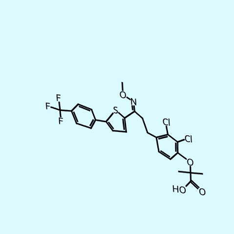 CO/N=C(/CCc1ccc(OC(C)(C)C(=O)O)c(Cl)c1Cl)c1ccc(-c2ccc(C(F)(F)F)cc2)s1